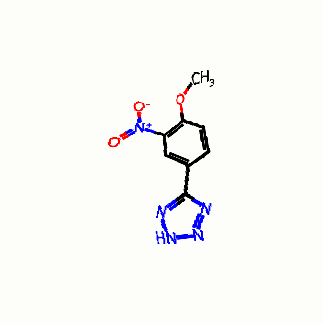 COc1ccc(-c2nn[nH]n2)cc1[N+](=O)[O-]